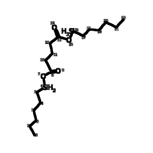 CCCCCC[SiH2]OC(=O)CCCC(=O)O[SiH2]CCCCCC